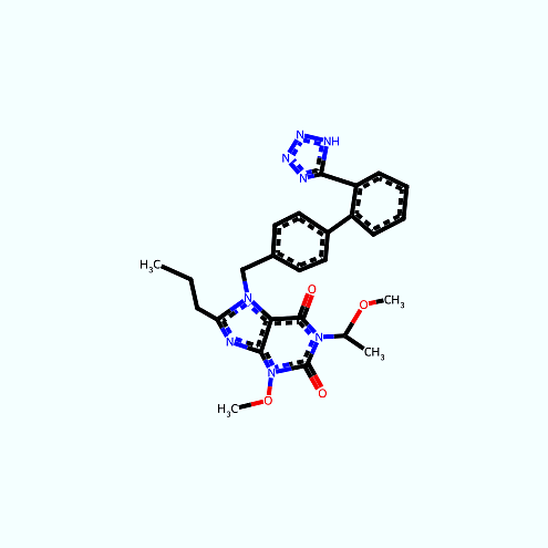 CCCc1nc2c(c(=O)n(C(C)OC)c(=O)n2OC)n1Cc1ccc(-c2ccccc2-c2nnn[nH]2)cc1